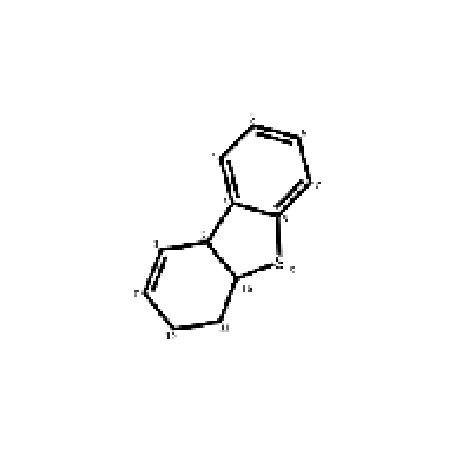 C1=CC2c3ccccc3SC2CC1